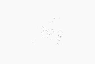 C=CC(=O)N1CC[C@@H](N(CC)c2nc(OC[C@@]34CCCN3C[C@H](F)C4)nc3c(F)c(-c4ccc(F)c5sc(N)c(C#N)c45)ccc23)[C@@H]1C